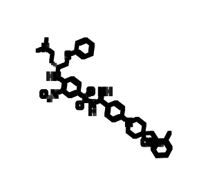 COC1(Cc2ccccc2C)CCN(c2ccc(C(=N)NS(=O)(=O)c3ccc(N[C@H](CCN(C)C)CSc4ccccc4)c([N+](=O)[O-])c3)cc2)CC1